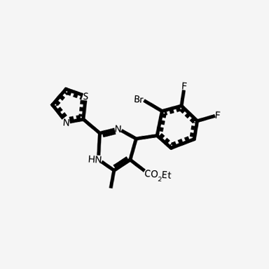 CCOC(=O)C1=C(C)NC(c2nccs2)=NC1c1ccc(F)c(F)c1Br